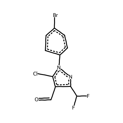 O=Cc1c(C(F)F)nn(-c2ccc(Br)cc2)c1Cl